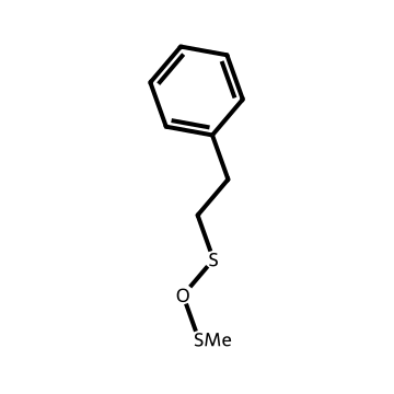 CSOSCCc1ccccc1